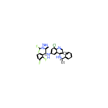 CC[C@@H](Nc1c(C#N)cnc2c(Cl)cc(N[C@@H](c3cccc(F)c3F)c3cnnn3C(F)F)cc12)c1ccccc1